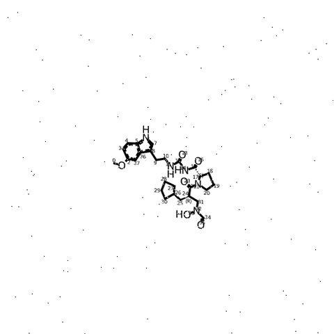 COc1ccc2[nH]cc(CCNC(=O)NC(=O)[C@@H]3CCCN3C(=O)[C@H](CC3CCCC3)CN(O)C=O)c2c1